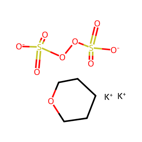 C1CCOCC1.O=S(=O)([O-])OOS(=O)(=O)[O-].[K+].[K+]